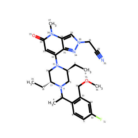 CC[C@H]1CN(C(C)c2ccc(F)cc2COC)[C@H](CC)CN1c1cc(=O)n(C)c2cn(CC#N)nc12